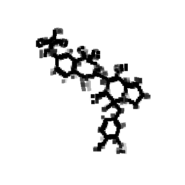 CC1(Cc2ccc(F)c(Cl)c2)C(=O)C(C2=NS(=O)(=O)c3cc(NS(C)(=O)=O)ccc3N2)=C(O)C2=CCCN21